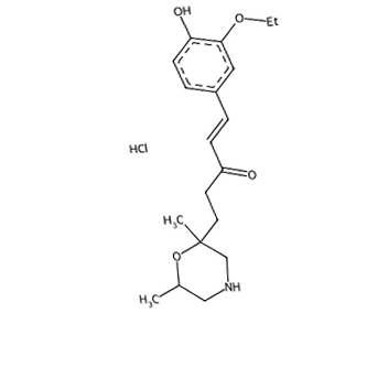 CCOc1cc(C=CC(=O)CCC2(C)CNCC(C)O2)ccc1O.Cl